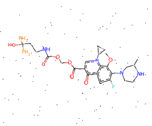 COc1c(N2CCNC(C)C2)c(F)cc2c(=O)c(C(=O)OCOC(=O)NCCC(O)(P)P)cn(C3CC3)c12